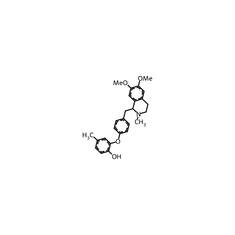 COc1cc2c(cc1OC)C(Cc1ccc(Oc3cc(C)ccc3O)cc1)N(C)CC2